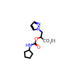 CCOC(=O)C(Cn1cccn1)OC(=O)NC1CCCC1